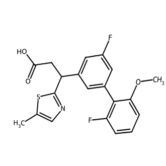 COc1cccc(F)c1-c1cc(F)cc(C(CC(=O)O)c2ncc(C)s2)c1